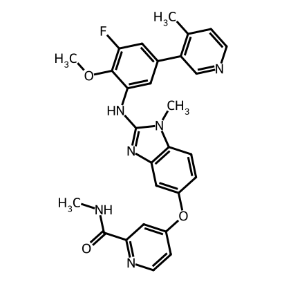 CNC(=O)c1cc(Oc2ccc3c(c2)nc(Nc2cc(-c4cnccc4C)cc(F)c2OC)n3C)ccn1